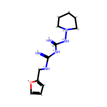 N=C(NCc1ccco1)NC(=N)NN1CCCCC1